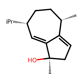 CC(C)[C@H]1C=C2C(=CC[C@@]2(C)O)[C@@H](C)CC1